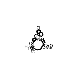 CC[C@@H]1CC/C=C/[C@@](C=O)(OC)[C@@H]2CC[C@H]2CN2C[C@@]3(CCCc4cc(Cl)ccc43)COc3ccc(cc32)C(=O)N(C)S1(=O)=O